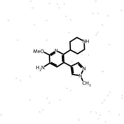 COc1nc(C2CCNCC2)c(-c2cnn(C)c2)cc1N